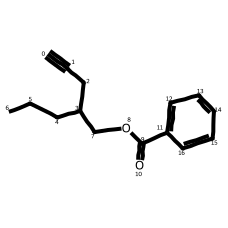 C#CCC(CCC)COC(=O)c1ccccc1